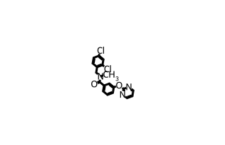 CN(Cc1ccc(Cl)cc1Cl)C(=O)c1cccc(Oc2ncccn2)c1